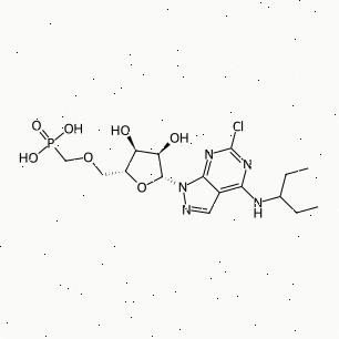 CCC(CC)Nc1nc(Cl)nc2c1cnn2[C@@H]1O[C@H](COCP(=O)(O)O)[C@@H](O)[C@H]1O